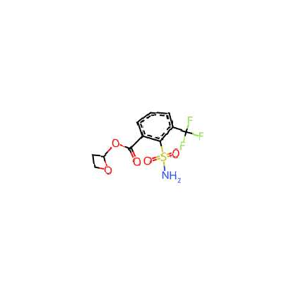 NS(=O)(=O)c1c(C(=O)OC2CCO2)cccc1C(F)(F)F